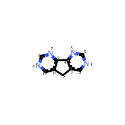 c1ncc2c(n1)-c1ncncc1C2